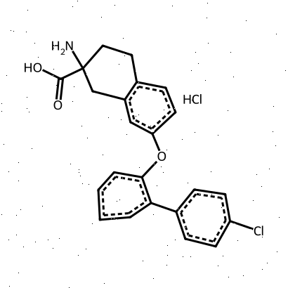 Cl.NC1(C(=O)O)CCc2ccc(Oc3ccccc3-c3ccc(Cl)cc3)cc2C1